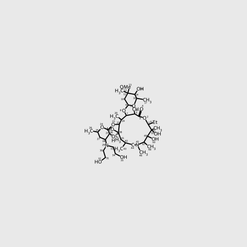 CCC1OC(=O)C(C)C(OC2CC(C)(OC)C(O)C(C)O2)C(C)C(OC2OC(C)CC(N(CCO)CCO)C2O)C(C)(O)CC(C)CN(C)C(C)C(O)C1(C)O